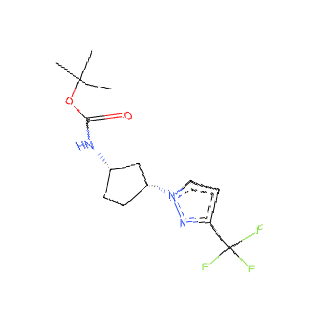 CC(C)(C)OC(=O)N[C@H]1CC[C@@H](n2ccc(C(F)(F)F)n2)C1